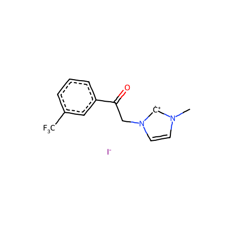 CN1[C+]N(CC(=O)c2cccc(C(F)(F)F)c2)C=C1.[I-]